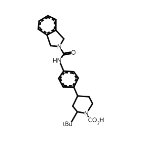 CC(C)(C)C1CC(c2ccc(NC(=O)N3Cc4ccccc4C3)cc2)CCN1C(=O)O